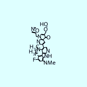 CNc1cc(F)c(F)c2c1[nH]c1ncc(-c3cnc4c(c3)c(=O)c(COCO)cn4Cc3cnco3)c(N(C)C)c12